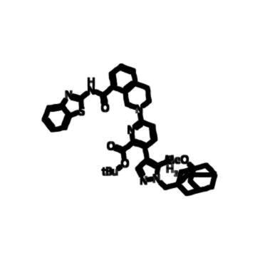 COC12CC3CC(CC(Cn4ncc(-c5ccc(N6CCc7cccc(C(=O)Nc8nc9ccccc9s8)c7C6)nc5C(=O)OC(C)(C)C)c4C)(C3)C1)C2